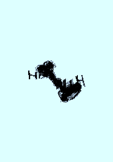 CC(C)(C)OC(=O)N1CCC[C@H]1CNc1ncc2cc(-c3ccc(-c4c[nH]c([C@@H]5CCCN5C(=O)OC(C)(C)C)n4)cc3)ccc2n1